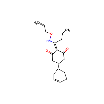 C=CCONC(CCC)=C1C(=O)CC(C2CC=CCC2)CC1=O